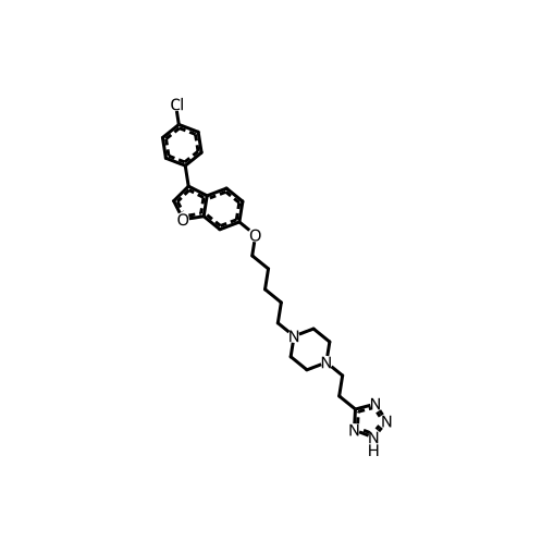 Clc1ccc(-c2coc3cc(OCCCCCN4CCN(CCc5nn[nH]n5)CC4)ccc23)cc1